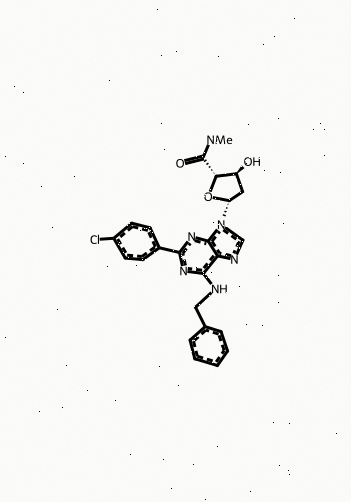 CNC(=O)[C@H]1O[C@@H](n2cnc3c(NCc4ccccc4)nc(-c4ccc(Cl)cc4)nc32)C[C@@H]1O